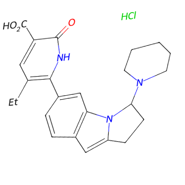 CCc1cc(C(=O)O)c(=O)[nH]c1-c1ccc2cc3n(c2c1)C(N1CCCCC1)CC3.Cl